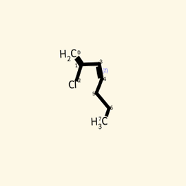 C=C(Cl)/C=C\CCC